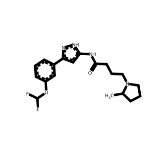 CC1CCCN1CCCC(=O)Nc1cc(-c2cccc(OC(F)F)c2)n[nH]1